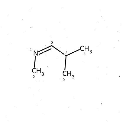 C/N=C\C(C)C